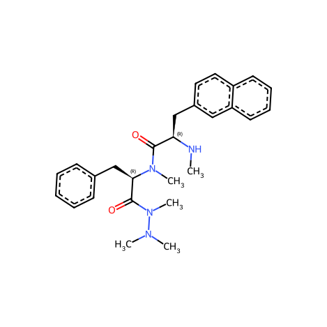 CN[C@H](Cc1ccc2ccccc2c1)C(=O)N(C)[C@H](Cc1ccccc1)C(=O)N(C)N(C)C